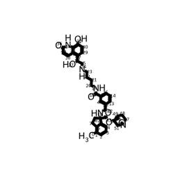 Cc1cccc2c1CC[C@]2(NCc1cccc(C(=O)NCCCCNCC(O)c2ccc(O)c3[nH]c(=O)ccc23)c1)C(=O)OC1CN2CCC1CC2